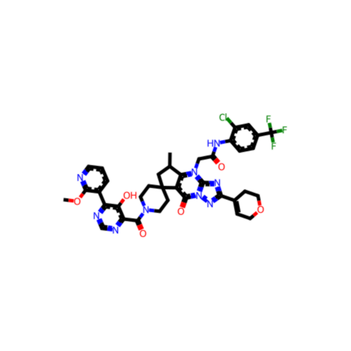 COc1ncccc1-c1ncnc(C(=O)N2CCC3(CC2)CC(C)c2c3c(=O)n3nc(C4=CCOCC4)nc3n2CC(=O)Nc2ccc(C(F)(F)F)cc2Cl)c1O